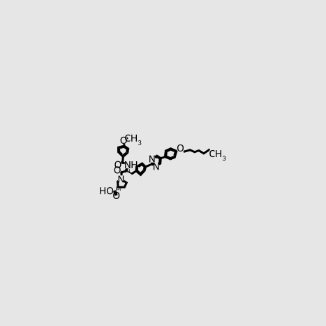 CCCCCCCOc1ccc(-c2cnc(-c3ccc(C[C@H](NC(=O)c4ccc(OC)cc4)C(=O)N4CC[C@H](C(=O)O)C4)cc3)nc2)cc1